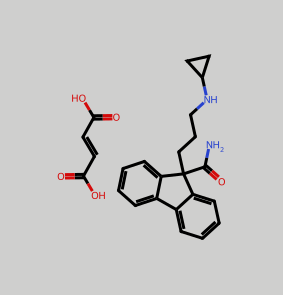 NC(=O)C1(CCCNC2CC2)c2ccccc2-c2ccccc21.O=C(O)C=CC(=O)O